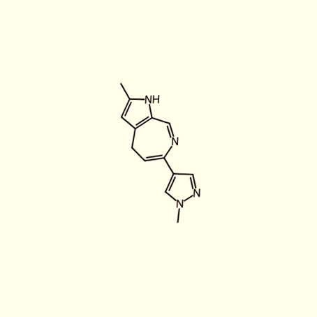 Cc1cc2c([nH]1)C=NC(c1cnn(C)c1)=CC2